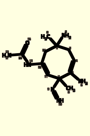 CC1(N)C/C=C(/N)C(C)(N=N)/C=C(/NC(N)=O)C1